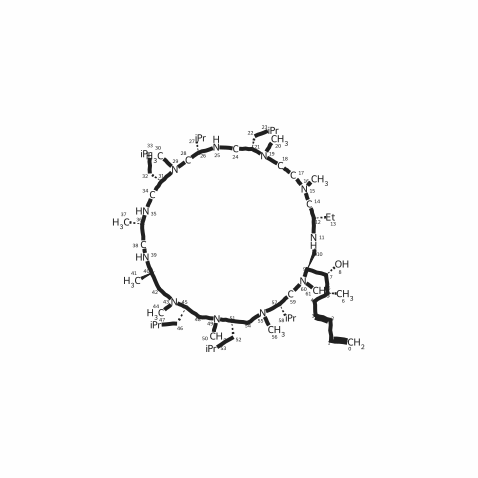 C=C/C=C/C[C@@H](C)[C@@H](O)[C@@H]1CN[C@@H](CC)CN(C)CCN(C)[C@@H](CC(C)C)CN[C@@H](C(C)C)CN(C)[C@@H](CC(C)C)CN[C@@H](C)CN[C@H](C)CN(C)[C@@H](CC(C)C)CN(C)[C@@H](CC(C)C)CN(C)[C@@H](C(C)C)CN1C